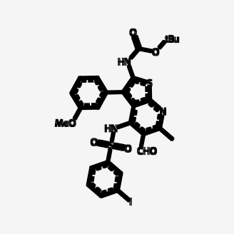 COc1cccc(-c2c(NC(=O)OC(C)(C)C)sc3nc(C)c(C=O)c(NS(=O)(=O)c4cccc(I)c4)c23)c1